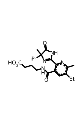 CCc1cc(C(=O)NCCCC(=O)O)c(C2=NC(C)(C(C)C)C(=O)N2)nc1C